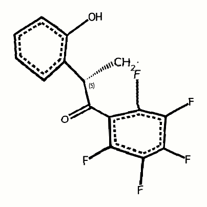 [CH2][C@H](C(=O)c1c(F)c(F)c(F)c(F)c1F)c1ccccc1O